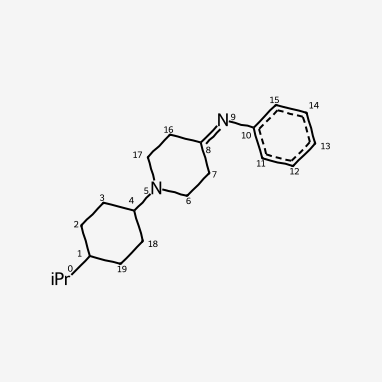 CC(C)C1CCC(N2CCC(=Nc3ccccc3)CC2)CC1